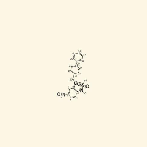 CN(c1ccc([N+](=O)[O-])cc1OCc1ccc(-c2ccccc2)cc1)S(C)(=O)=O